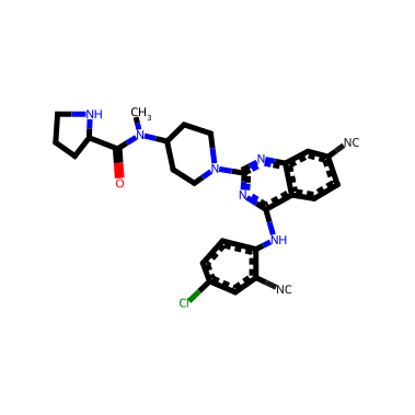 [C-]#[N+]c1ccc2c(Nc3ccc(Cl)cc3[N+]#[C-])nc(N3CCC(N(C)C(=O)C4CCCN4)CC3)nc2c1